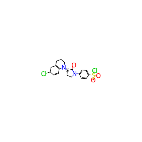 O=C1[C@@H](N2CCCC3=C2C=CC(Cl)C3)CCN1c1ccc(S(=O)(=O)Cl)cc1